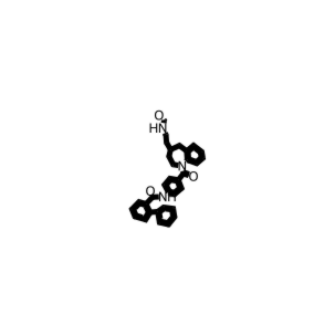 O=CNCCC1CCN(C(=O)c2ccc(NC(=O)c3ccccc3-c3ccccc3)cc2)c2ccccc2C1